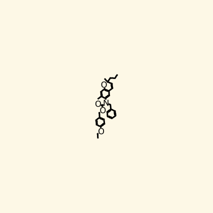 CCCC1(C)C=Cc2cc(N(Cc3ccccc3)C(=O)OCc3ccc(OCC)cc3)c(C)cc2O1